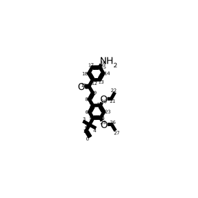 C=CC(C)(C)c1cc(C=CC(=O)c2ccc(N)cc2)c(OCC)cc1OCC